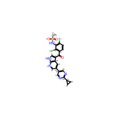 CCCS(=O)(=O)Nc1c(F)ccc(C(=O)c2c[nH]c3ncc(-c4cnc(C5CC5)nc4)cc23)c1F